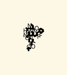 CNC(=O)c1c(N2CCN(C(=O)OC(C)(C)C)[C@H](C)C2)c2cc(F)c(-c3c(F)cccc3OC)nc2n(-c2c(C)ccnc2C(C)C)c1=O